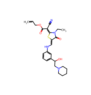 C=CCOC(=O)C(C#N)=c1sc(=CNc2cccc(C(O)CN3CCCCC3)c2)c(=O)n1CC